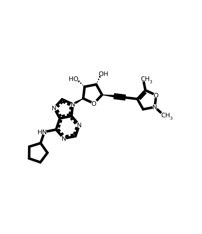 CC1=C(C#C[C@H]2O[C@@H](n3cnc4c(NC5CCCC5)ncnc43)[C@H](O)[C@@H]2O)CN(C)O1